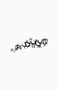 NC1=N[C@@H](CCc2ccc(NC(=O)c3ccc(N4CCOCC4)nc3)cc2)CO1